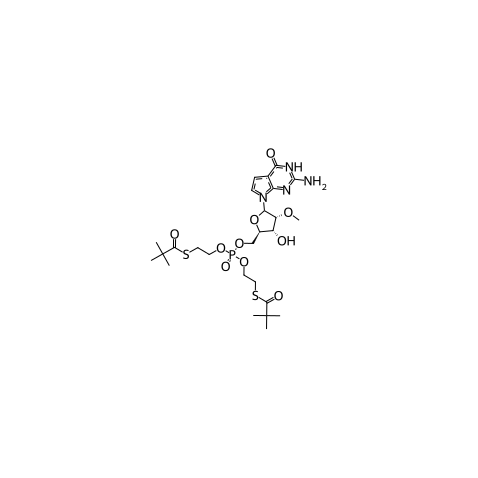 CO[C@H]1C(n2ccc3c(=O)[nH]c(N)nc32)O[C@H](COP(=O)(OCCSC(=O)C(C)(C)C)OCCSC(=O)C(C)(C)C)[C@H]1O